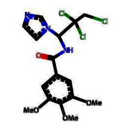 COc1cc(C(=O)NC(n2ccnc2)C(Cl)(Cl)CCl)cc(OC)c1OC